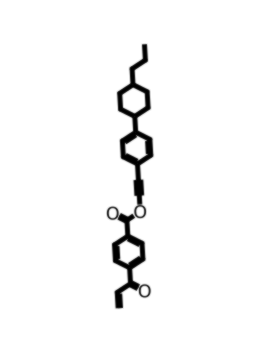 C=CC(=O)c1ccc(C(=O)OC#Cc2ccc(C3CCC(CCC)CC3)cc2)cc1